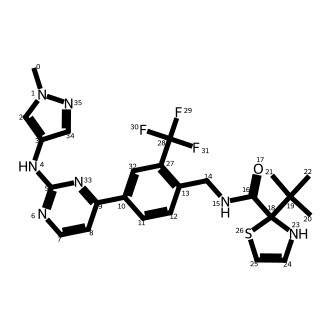 Cn1cc(Nc2nccc(-c3ccc(CNC(=O)C4(C(C)(C)C)NC=CS4)c(C(F)(F)F)c3)n2)cn1